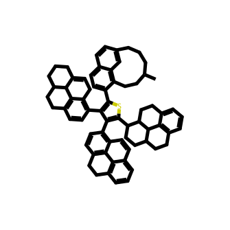 CC1CCCc2ccc3ccc(-c4sc(C5CCC6CCc7cccc8c7C6C5CC8)c(-c5ccc6c7c5ccc5cccc(c57)CC6)c4-c4ccc5c6c4CC=C4CCCC(CC5)C46)c(c3c2)CC1